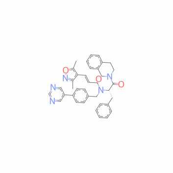 Cc1noc(C)c1C=CC(=O)N(Cc1ccc(-c2cncnc2)cc1)[C@@H](Cc1ccccc1)C(=O)N1CCc2ccccc2C1